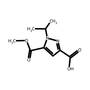 COC(=O)c1cc(C(=O)O)nn1C(C)C